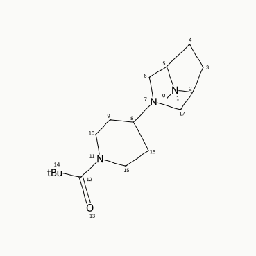 CN1C2CCC1CN(C1CCN(C(=O)C(C)(C)C)CC1)C2